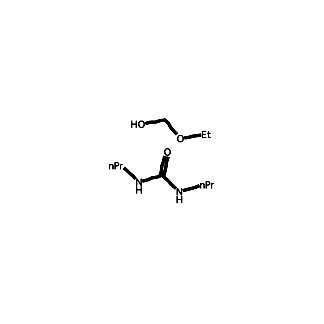 CCCNC(=O)NCCC.CCOCO